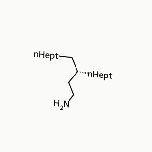 CCCCCCCC[C@@H](CCN)CCCCCCC